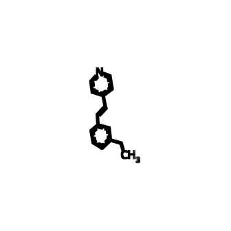 CCc1cccc(C=Cc2ccncc2)c1